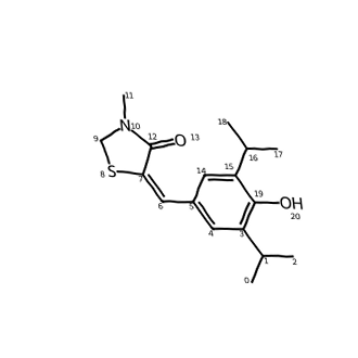 CC(C)c1cc(C=C2SCN(C)C2=O)cc(C(C)C)c1O